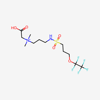 C[N+](C)(CCCNS(=O)(=O)CCCOC(F)(F)C(F)(F)F)CC(=O)O